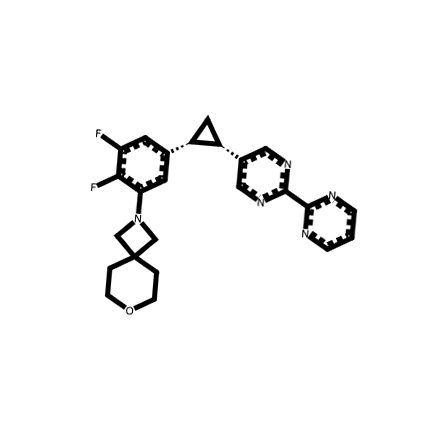 Fc1cc([C@@H]2C[C@@H]2c2cnc(-c3ncccn3)nc2)cc(N2CC3(CCOCC3)C2)c1F